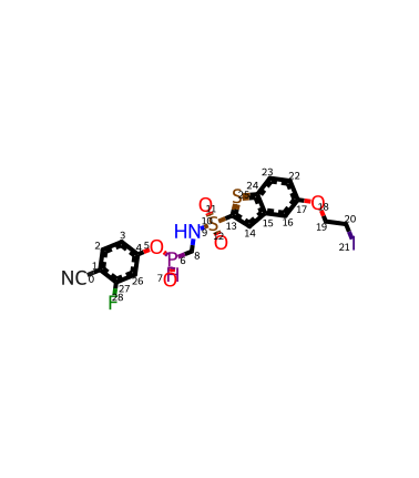 N#Cc1ccc(O[PH](=O)CNS(=O)(=O)c2cc3cc(OCCI)ccc3s2)cc1F